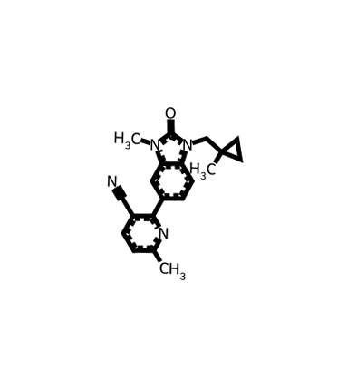 Cc1ccc(C#N)c(-c2ccc3c(c2)n(C)c(=O)n3CC2(C)CC2)n1